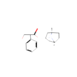 CN1[C@@H]2CC[C@H]1C[C@@H](OC(=O)[C@](C)(CO)c1ccccc1)C2